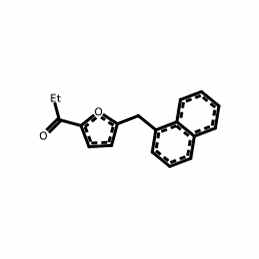 CCC(=O)c1ccc(Cc2cccc3ccccc23)o1